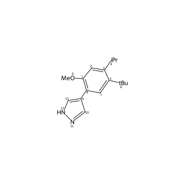 COc1cc(C(C)C)c(C(C)(C)C)cc1-c1cn[nH]c1